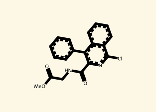 COC(=O)CNC(=O)c1nc(Cl)c2ccccc2c1-c1ccccc1